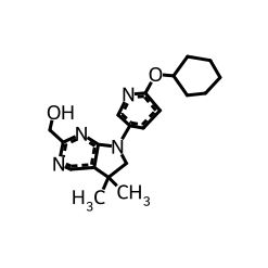 CC1(C)CN(c2ccc(OC3CCCCC3)nc2)c2nc(CO)ncc21